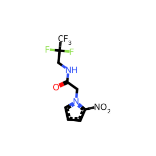 O=C(Cn1cccc1[N+](=O)[O-])NCC(F)(F)C(F)(F)F